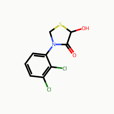 O=C1C(O)SCN1c1cccc(Cl)c1Cl